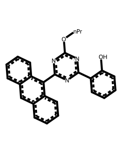 CCCOc1nc(-c2ccccc2O)nc(-c2c3ccccc3cc3ccccc23)n1